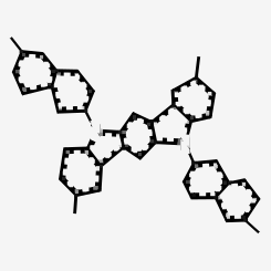 Cc1ccc2cc(-n3c4ccc(C)cc4c4cc5c(cc43)c3cc(C)ccc3n5-c3ccc4cc(C)ccc4c3)ccc2c1